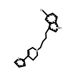 Clc1ccc2[nH]cc(CCCCN3CC=C(c4cccs4)CC3)c2c1